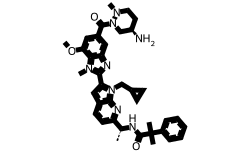 COc1cc(C(=O)N2C[C@H](N)CCN2C)cc2nc(-c3cc4ccc([C@@H](C)NC(=O)C(C)(C)c5ccccc5)nc4n3CC3CC3)n(C)c12